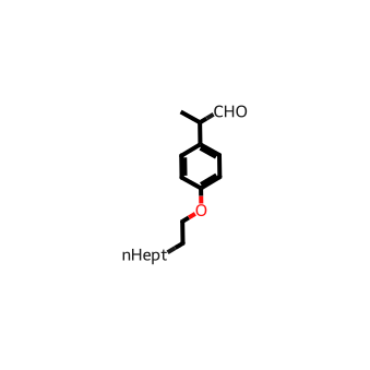 CCCCCCCCCOc1ccc(C(C)C=O)cc1